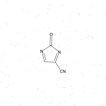 N#CC1=NC(=O)N=C1